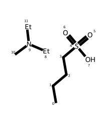 CCCCS(=O)(=O)O.CCN(C)CC